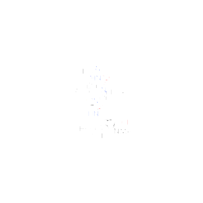 CCCCCCN(C(=O)[C@@H](NC(=O)[C@H]1CCCCN1C)[C@@H](C)CC)[C@H](C[C@@H](OC(C)=O)c1nc(C(=O)NC(Cc2ccc(NC)c(O)c2)CC(C)(C)C(=O)O)cs1)C(C)C